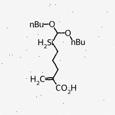 C=C(CCC[SiH2]C(OCCCC)OCCCC)C(=O)O